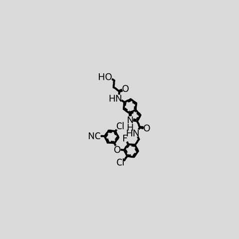 N#Cc1cc(Cl)cc(Oc2c(Cl)ccc(CNC(=O)c3cc4ccc(NC(=O)CCO)cc4[nH]3)c2F)c1